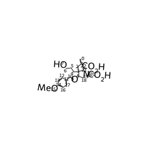 C=CC[C@]1(CCCO)C(OCc2ccc(OC)cc2)CN(C(=O)O)[C@@H]1C(=O)O